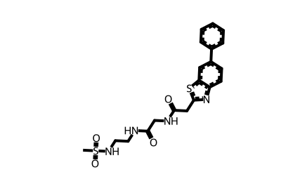 CS(=O)(=O)NCCNC(=O)CNC(=O)Cc1nc2ccc(-c3ccccc3)cc2s1